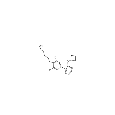 OCCCCCc1c(F)cc(-c2cccnc2OC2CCC2)cc1F